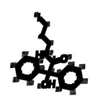 O=C(NCCCI)C(O)(c1ccccc1)c1ccccc1